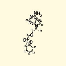 C[C@H](COC[PH](=O)Oc1ccccc1)n1cnc2c(N)ncnc21